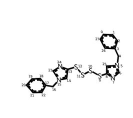 c1ccc(Cn2cnc(SSSSc3cn(Cc4ccccc4)cn3)c2)cc1